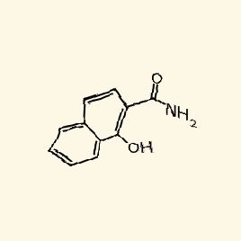 NC(=O)c1ccc2ccccc2c1O